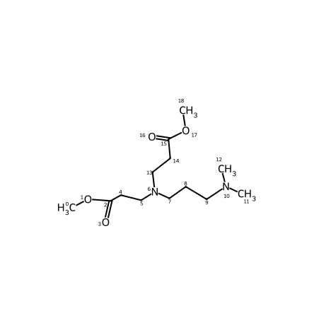 COC(=O)CCN(CCCN(C)C)CCC(=O)OC